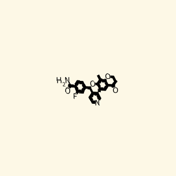 Cc1c(O[C@@H](c2ccncc2)c2ccc(C(N)=O)c(F)c2)c(F)cc2c1OCCC2=O